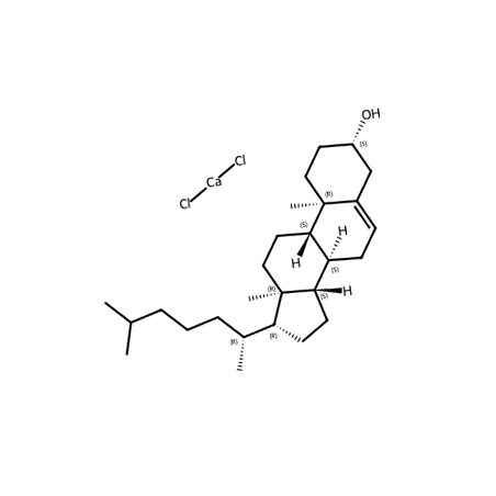 CC(C)CCC[C@@H](C)[C@H]1CC[C@H]2[C@@H]3CC=C4C[C@@H](O)CC[C@]4(C)[C@H]3CC[C@]12C.[Cl][Ca][Cl]